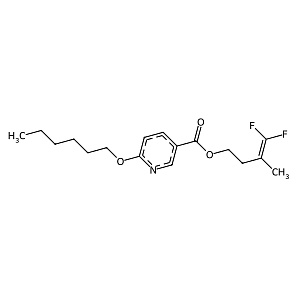 CCCCCCOc1ccc(C(=O)OCCC(C)=C(F)F)cn1